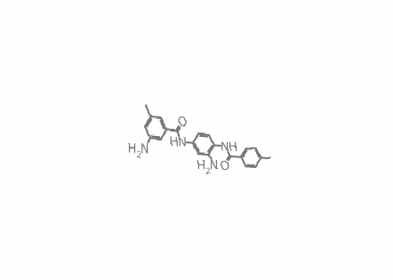 Cc1ccc(C(=O)Nc2ccc(NC(=O)c3cc(C)cc(N)c3)cc2N)cc1